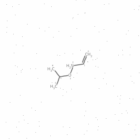 C=C[SiH2]OC(C)C